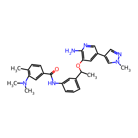 Cc1ccc(C(=O)Nc2cccc(C(C)Oc3cc(-c4cnn(C)c4)cnc3N)c2)cc1N(C)C